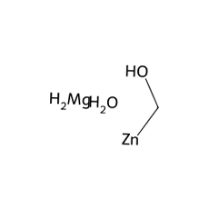 O.O[CH2][Zn].[MgH2]